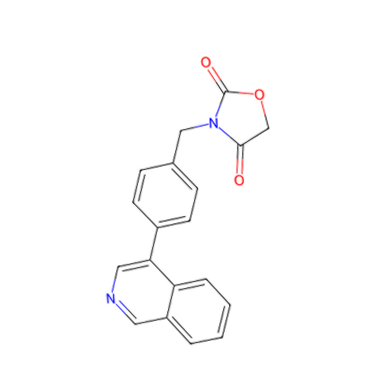 O=C1COC(=O)N1Cc1ccc(-c2cncc3ccccc23)cc1